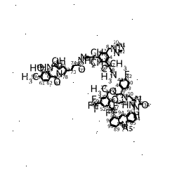 CC(C)(C#N)c1cc(Cn2cncn2)cc(C(C)(C)C#N)c1.C[C@@H](O[C@@H]1OCCN(Cc2nc(=O)[nH][nH]2)[C@@H]1c1ccc(F)cc1)c1cc(C(F)(F)F)cc(C(F)(F)F)c1.Cc1ccc2c(c1O)N[C@@H](O)[C@@H]1CC(/C=C/C(N)=O)=CN1C2=O.[As].c1ccc2nc3ccccc3cc2c1